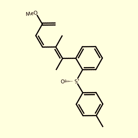 C=C(/C=C\C(C)=C(/C)c1ccccc1[S@@+]([O-])c1ccc(C)cc1)OC